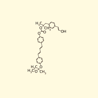 COC(C)(C)Oc1ccc(C=CC=Cc2ccc(OC(=O)OC(C)(C)Cc3ccc(C=CO)cc3)cc2)cc1